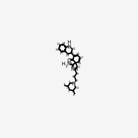 CC1CC(C)CN(CCCCCC2(C(=N)N)C=CC=C(C3CNc4ccccc4C3)C2=O)C1